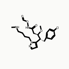 CNCCCCn1nccc1[C@@H](Cc1ccc(Cl)cc1)[C@@H](CC(=O)NOC=O)OC